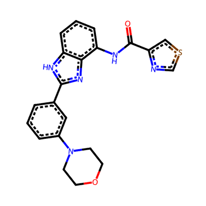 O=C(Nc1cccc2[nH]c(-c3cccc(N4CCOCC4)c3)nc12)c1cscn1